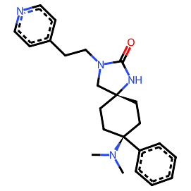 CN(C)[C@]1(c2ccccc2)CC[C@@]2(CC1)CN(CCc1ccncc1)C(=O)N2